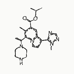 C=C(c1c(C)c(C(=O)OC(C)C)cc2c(-c3ncnn3C)ccn12)N1CCNCC1